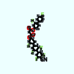 N#Cc1c(F)cc(-c2c(F)cc(-c3ccc(OC(=O)CC(=O)Oc4ccc(-c5ccc(F)cc5)c(F)c4)cc3F)cc2F)cc1F